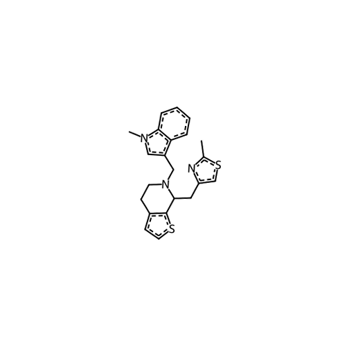 Cc1nc(CC2c3sccc3CCN2Cc2cn(C)c3ccccc23)cs1